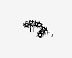 Cn1ncc(-c2ccc3cnc(NC(=O)[C@H]4CCCO4)cc3c2)c1CN1CCCCC1